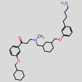 CN(CCC(=O)c1cccc(OCC2CCCCC2)c1)CC1CCCC(COc2cccc(CCCCN)c2)C1